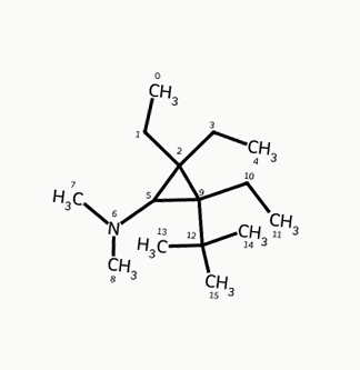 CCC1(CC)C(N(C)C)C1(CC)C(C)(C)C